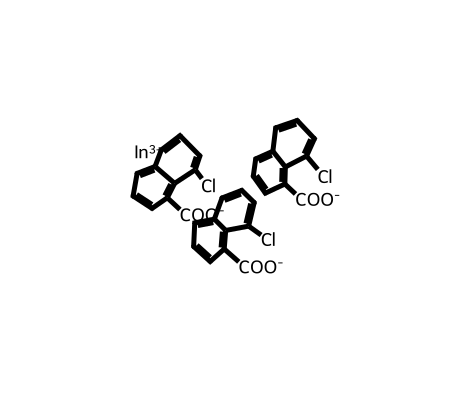 O=C([O-])c1cccc2cccc(Cl)c12.O=C([O-])c1cccc2cccc(Cl)c12.O=C([O-])c1cccc2cccc(Cl)c12.[In+3]